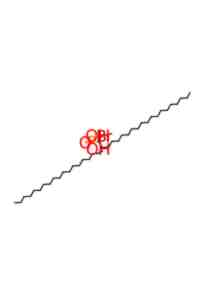 CCCCCCCCCCCCCCCCCC[C](CCCCCCCCCCCCCCCCCC)C(Br)P(=O)(O)O